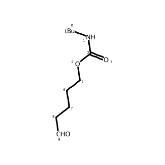 CC(C)(C)NC(=O)OCCCCC=O